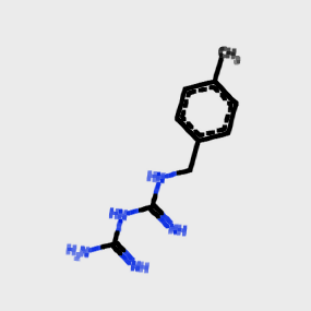 Cc1ccc(CNC(=N)NC(=N)N)cc1